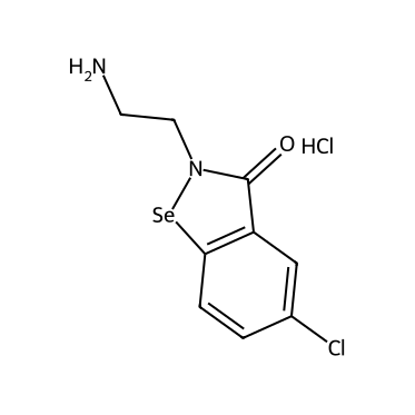 Cl.NCCn1[se]c2ccc(Cl)cc2c1=O